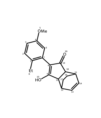 CCc1ccc(OC)cc1C1=C(O)C2C3C=CC(CC3)C2C1=O